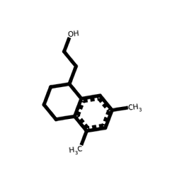 Cc1cc(C)c2c(c1)C(CCO)CCC2